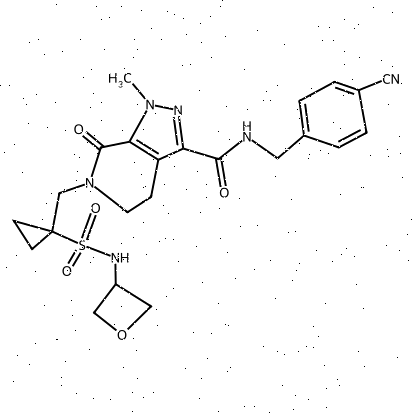 Cn1nc(C(=O)NCc2ccc(C#N)cc2)c2c1C(=O)N(CC1(S(=O)(=O)NC3COC3)CC1)CC2